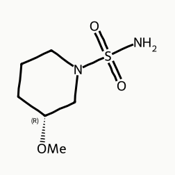 CO[C@@H]1CCCN(S(N)(=O)=O)C1